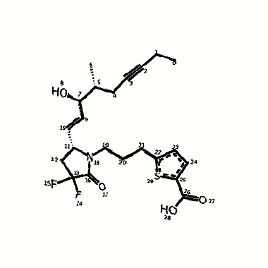 CCC#CC[C@@H](C)[C@H](O)C=C[C@H]1CC(F)(F)C(=O)N1CCCc1ccc(C(=O)O)s1